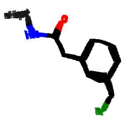 CCCCCCCNC(=O)Cc1cccc(CBr)c1